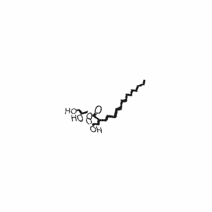 CCCCCCCCCCCCCCC(CC(=O)O)C(=O)OCC(O)CO